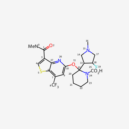 CNC(=O)c1csc2c(C(F)(F)F)cc(OC3(C4CN(C)CC4F)CCCCN3C(=O)O)nc12